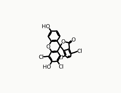 O=C1OC2(c3ccc(O)cc3Oc3c2cc(Cl)c(O)c3Cl)c2c(Cl)ccc(Cl)c21